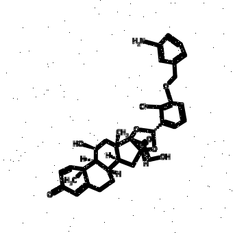 C[C@]12C=CC(=O)C=C1CC[C@@H]1[C@@H]2[C@@H](O)C[C@@]2(C)[C@H]1C[C@H]1O[C@@H](c3cccc(OCc4cccc(N)c4)c3Cl)O[C@]12C(=O)CO